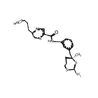 C[C@@]1(c2cccc(NC(=O)c3cnc(CCO)cn3)c2)CCSC(N)=N1